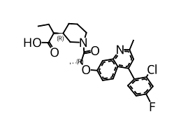 CCC(C(=O)O)[C@H]1CCCN(C(=O)[C@@H](C)Oc2ccc3c(-c4ccc(F)cc4Cl)cc(C)nc3c2)C1